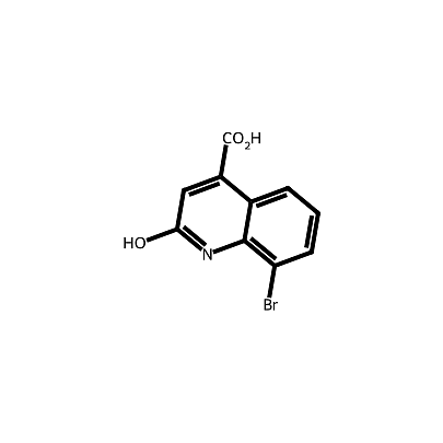 O=C(O)c1cc(O)nc2c(Br)cccc12